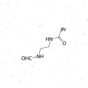 CC(C)C(=O)NCCNC=O